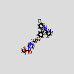 O=C(c1ccco1)N1CCN(CCCOc2ccc(-n3c(-c4ccccn4)nc4cc(F)ccc43)cc2)CC1